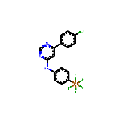 FS(F)(F)(F)(F)c1ccc(Nc2cc(-c3ccc(Cl)cc3)ncn2)cc1